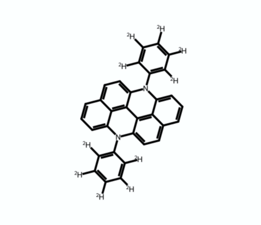 [2H]c1c([2H])c([2H])c(-n2c3ccc4cccc5c4c3-c3c4c(cccc42)ccc3n5-c2c([2H])c([2H])c([2H])c([2H])c2[2H])c([2H])c1[2H]